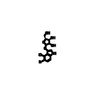 OC[C@H]1OC(Oc2c[nH]c3ccc(Br)c(Cl)c23)[C@H](O)[C@H]1O